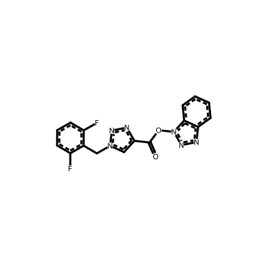 O=C(On1nnc2ccccc21)c1cn(Cc2c(F)cccc2F)nn1